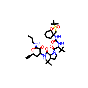 C#CCCC(NC(=O)C1C(C(C)(C)C)CCN1C(=O)[C@@H](NC(=O)NC1(CS(=O)(=O)C(C)(C)C)CCCCC1)C(C)(C)C)C(=O)C(=O)NCCC